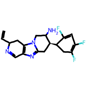 C=CC1Cc2c(nc3n2CC(N)[C@@H](C2CC(F)=C(F)C=C2F)C3)C=N1